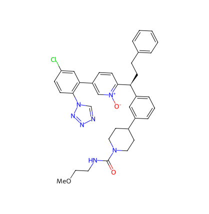 COCCNC(=O)N1CCC(c2cccc([C@H](CCc3ccccc3)c3ccc(-c4cc(Cl)ccc4-n4cnnn4)c[n+]3[O-])c2)CC1